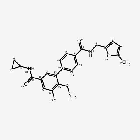 Cc1ccc(CNC(=O)c2ccc(-c3cc(C(=O)NC4CC4)cc(F)c3CN)nc2)o1